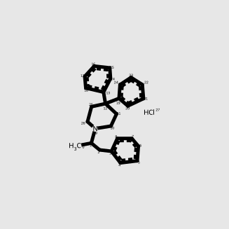 CC(Cc1ccccc1)N1CCC(c2ccccc2)(c2ccccc2)CC1.Cl